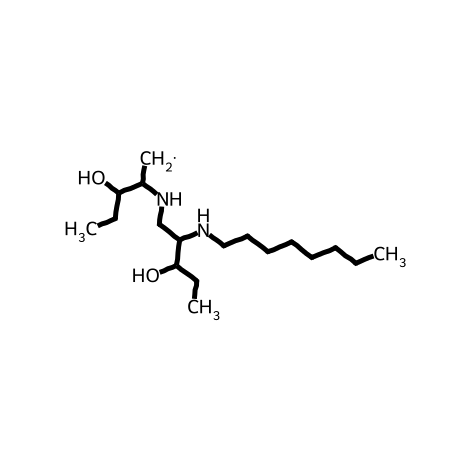 [CH2]C(NCC(NCCCCCCCC)C(O)CC)C(O)CC